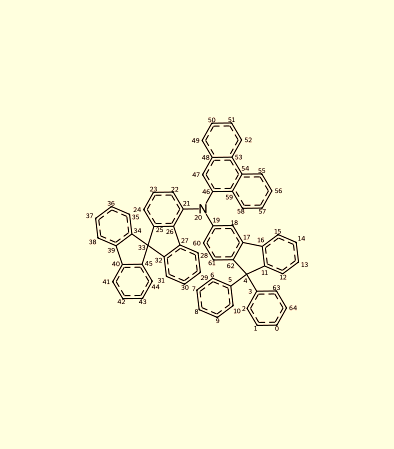 c1ccc(C2(c3ccccc3)c3ccccc3-c3cc(N(c4cccc5c4-c4ccccc4C54c5ccccc5-c5ccccc54)c4cc5ccccc5c5ccccc45)ccc32)cc1